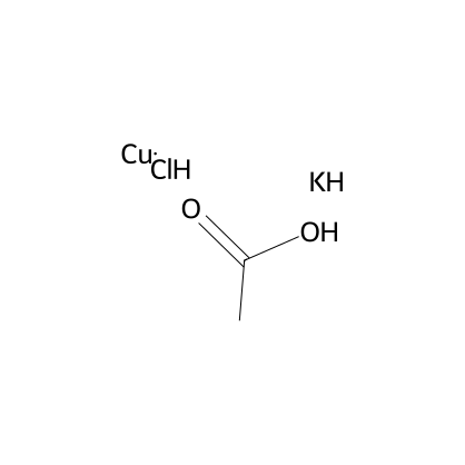 CC(=O)O.Cl.[Cu].[KH]